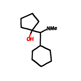 CNC(C1CCCCC1)C1(O)CCCC1